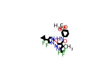 Cc1c(C(F)(F)F)nnc(Oc2ncc(C3(F)CC3)c(F)n2)c1C(=O)Nc1cccc(S(C)(=O)=O)c1